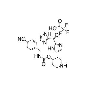 N#Cc1ccc(CNC(=O)OC2CCNCC2)cc1.O=C(O)C(F)(F)F.O=C(c1ncc[nH]1)c1ncc[nH]1